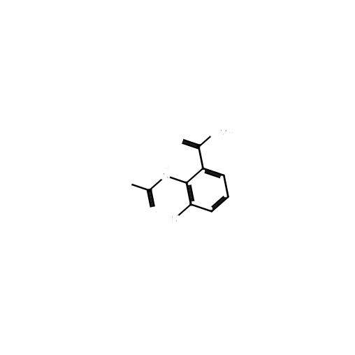 CCC(=O)Nc1c(C(=O)OC)cccc1[N+](=O)[O-]